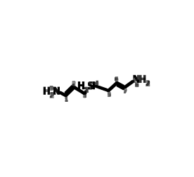 NC=CC[SiH2]CC=CN